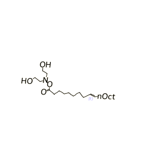 CCCCCCCC/C=C/CCCCCCCC(=O)ON(CCO)CCO